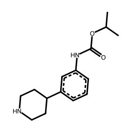 CC(C)OC(=O)Nc1cccc(C2CCNCC2)c1